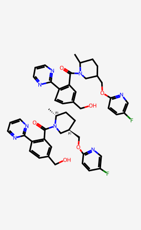 CC1CCC(COc2ccc(F)cn2)CN1C(=O)c1cc(CO)ccc1-c1ncccn1.C[C@@H]1CC[C@@H](COc2ccc(F)cn2)CN1C(=O)c1cc(CO)ccc1-c1ncccn1